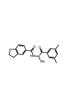 Cc1cc(C)cc(C(=O)N(NC(=O)c2ccc3c(c2)CCO3)C(C)(C)C)c1